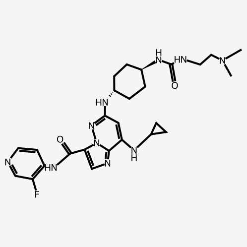 CN(C)CCNC(=O)N[C@H]1CC[C@H](Nc2cc(NC3CC3)c3ncc(C(=O)Nc4ccncc4F)n3n2)CC1